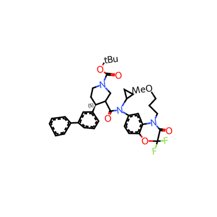 COCCCN1C(=O)C(F)(F)Oc2ccc(N(C(=O)C3CN(C(=O)OC(C)(C)C)CC[C@@H]3c3cccc(-c4ccccc4)c3)C3CC3)cc21